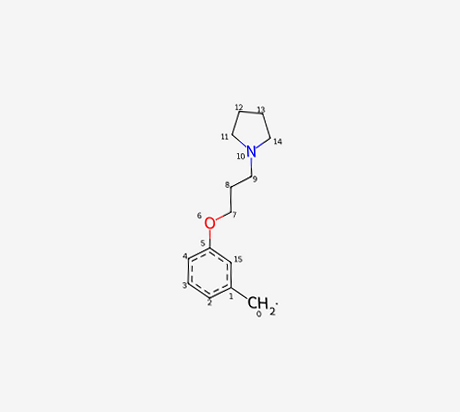 [CH2]c1cccc(OCCCN2CCCC2)c1